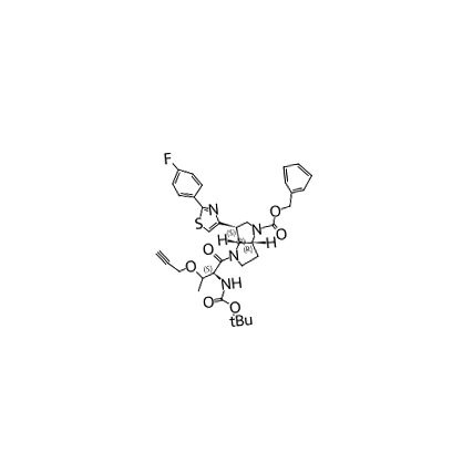 C#CCOC(C)[C@H](NC(=O)OC(C)(C)C)C(=O)N1CC[C@@H]2[C@H]1[C@@H](c1csc(-c3ccc(F)cc3)n1)CN2C(=O)OCc1ccccc1